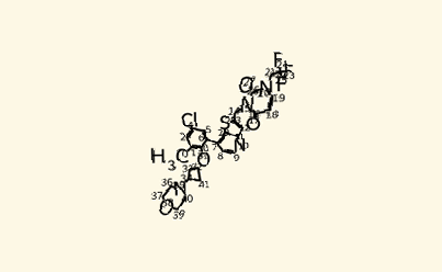 Cc1cc(Cl)cc(-c2ccnc3cc(Cn4c(=O)ccn(CC(F)(F)F)c4=O)sc23)c1OC1CC(N2CCOCC2)C1